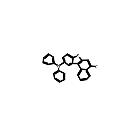 Clc1cc2sc3ccc(N(c4ccccc4)c4ccccc4)cc3c2c2ccccc12